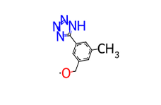 Cc1cc(C[O])cc(-c2nnn[nH]2)c1